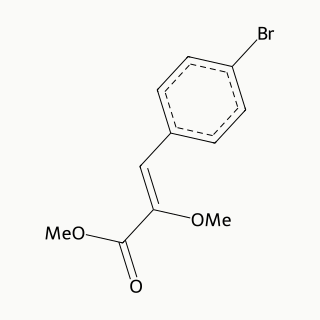 COC(=O)/C(=C/c1ccc(Br)cc1)OC